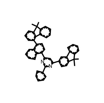 CC1(C)c2ccccc2-c2cc(-c3cc(-c4ccc(-c5cccc6c5-c5ccccc5C6(C)C)c5ccccc45)nc(-c4ccccc4)n3)ccc21